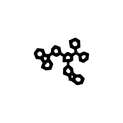 c1ccc(N(c2ccccc2)c2cc(-c3cccc(-n4c5ccccc5c5ccccc54)c3)cc(-c3ccc4sc5ccccc5c4c3)c2)cc1